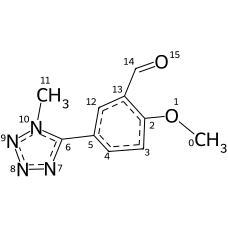 COc1ccc(-c2nnnn2C)cc1C=O